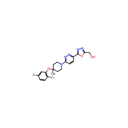 N#CC1(Oc2cc(F)ccc2Cl)CCN(c2ccc(-c3nnc(CO)o3)nn2)CC1